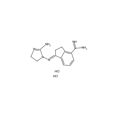 Cl.Cl.N=C(N)c1cccc2c1CCC2=NN1CCN=C1N